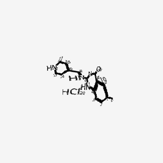 Cc1ccc2[nH]c(NCC3CCNCC3)nc(=O)c2c1.Cl